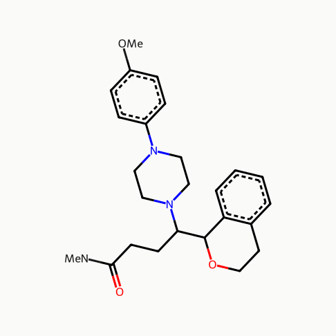 CNC(=O)CCC(C1OCCc2ccccc21)N1CCN(c2ccc(OC)cc2)CC1